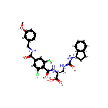 COc1cccc(CNC(=O)c2cc(Cl)c(C(=O)N[C@@H](CNC(=O)N[C@@H]3CCc4ccccc43)C(=O)O)c(Cl)c2)c1